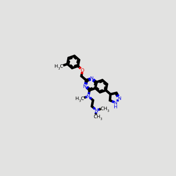 Cc1cccc(OCc2nc(N(C)CCN(C)C)c3cc(C4C=NNC4)ccc3n2)c1